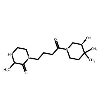 CC1NCCN(CCCC(=O)N2CCC(C)(C)[C@H](O)C2)C1=O